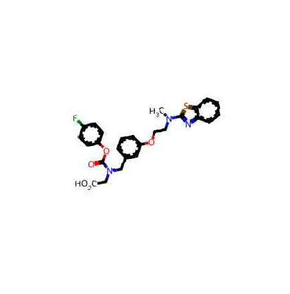 CN(CCOc1cccc(CN(CC(=O)O)C(=O)Oc2ccc(F)cc2)c1)c1nc2ccccc2s1